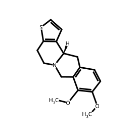 COc1ccc2c(c1OC)CN1CCc3sccc3[C@@H]1C2